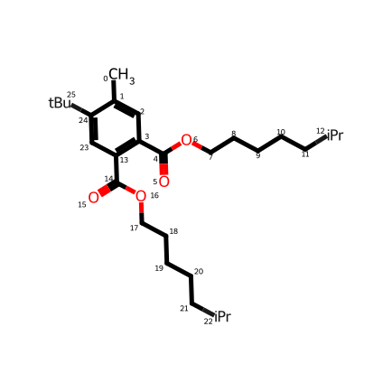 Cc1cc(C(=O)OCCCCCC(C)C)c(C(=O)OCCCCCC(C)C)cc1C(C)(C)C